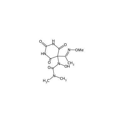 CO/N=C(\C)C1(N(O)C(=O)N(C)C)C(=O)NC(=O)NC1=O